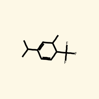 CC(C)C1=CC(C)C(C(F)(F)F)C=C1